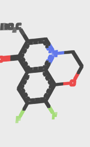 CCOC(=O)c1cn2c3c(c(F)c(F)cc3c1=O)OCC2